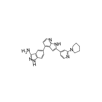 Nc1n[nH]c2ccc(-c3ccnc4[nH]c(-c5ccnc(N6CCCCC6)c5)cc34)cc12